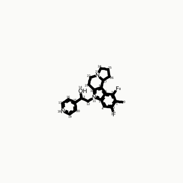 Cc1c(F)cc2c(c1F)c1c(n2CC(O)c2ccncc2)CCN2CCCC12